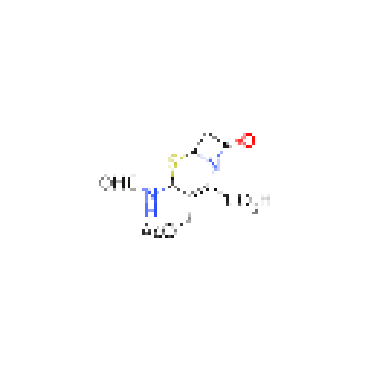 CC(=O)OCC1=C(C(=O)O)N2C(=O)CC2SC1NC=O